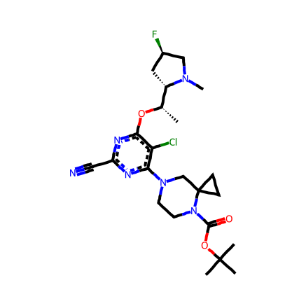 C[C@H](Oc1nc(C#N)nc(N2CCN(C(=O)OC(C)(C)C)C3(CC3)C2)c1Cl)[C@@H]1C[C@@H](F)CN1C